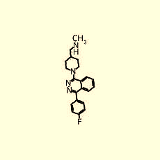 CNCC1CCN(c2nnc(-c3ccc(F)cc3)c3ccccc23)CC1